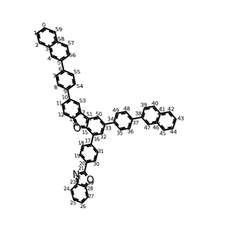 c1ccc2cc(-c3ccc(-c4ccc5oc6c(-c7ccc(-c8nc9ccccc9o8)cc7)cc(-c7ccc(-c8ccc9ccccc9c8)cc7)cc6c5c4)cc3)ccc2c1